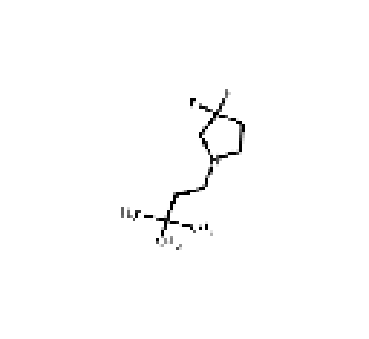 CC(C)(C)CCN1CCC(F)(F)C1